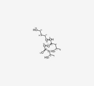 CC(S)CC(=O)O.CC(S)CC(=O)O.OCSCO